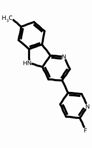 Cc1ccc2c(c1)[nH]c1cc(-c3ccc(F)nc3)cnc12